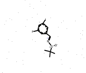 CC(C)(C)[S@@+]([O-])/N=C/c1cc(F)cc(I)c1